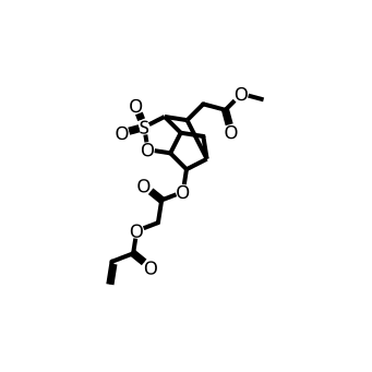 C=CC(=O)OCC(=O)OC1C2CC3C1OS(=O)(=O)C3C2CC(=O)OC